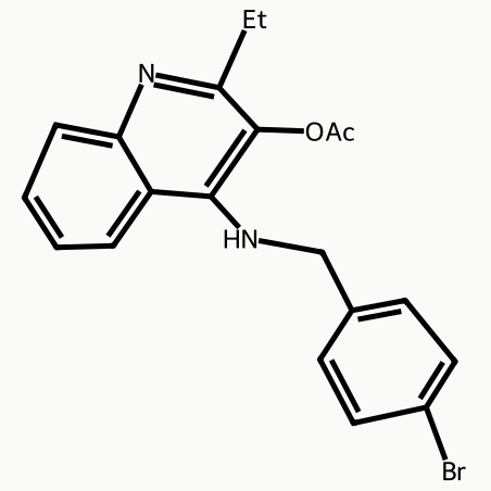 CCc1nc2ccccc2c(NCc2ccc(Br)cc2)c1OC(C)=O